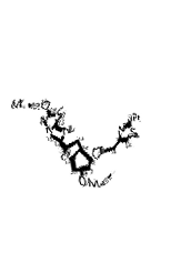 CCCc1nc(COc2cc(OC)cc3oc(-c4cn5nc(OC)sc5n4)cc23)cs1